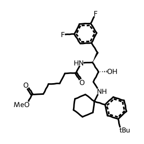 COC(=O)CCCCC(=O)N[C@@H](Cc1cc(F)cc(F)c1)[C@H](O)CNC1(c2cccc(C(C)(C)C)c2)CCCCC1